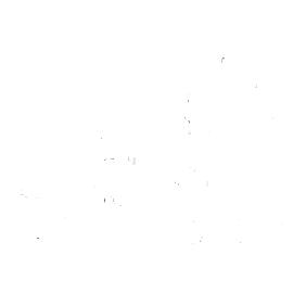 CCC(OC(C)=O)C(OC(C)=O)C(OC(C)=O)C(OC(C)=O)C(=O)NCC(CN)(CNC(=O)C(OC(C)=O)C(OC(C)=O)C(OC(C)=O)C(CC)OC(C)=O)CNC(=O)C(OC(C)=O)C(OC(C)=O)C(OC(C)=O)C(COC(C)=O)OC(C)=O